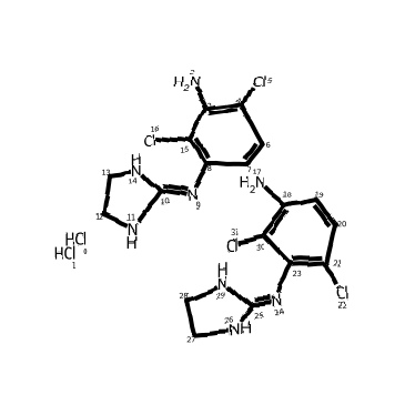 Cl.Cl.Nc1c(Cl)ccc(N=C2NCCN2)c1Cl.Nc1ccc(Cl)c(N=C2NCCN2)c1Cl